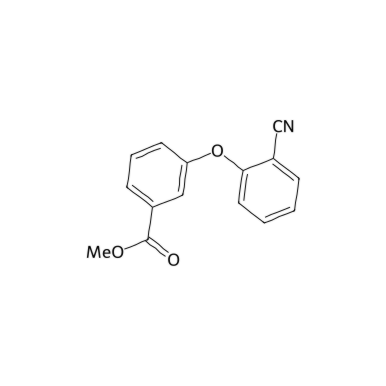 COC(=O)c1cccc(Oc2ccccc2C#N)c1